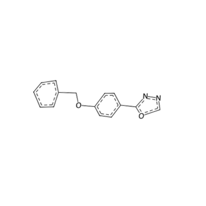 c1ccc(COc2ccc(-c3nnco3)cc2)cc1